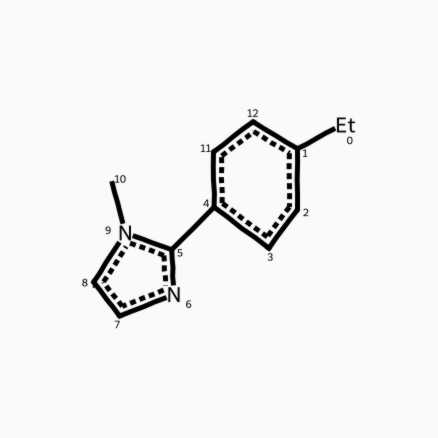 CCc1ccc(-c2nc[c]n2C)cc1